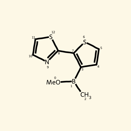 COB(C)c1ccsc1-c1nccs1